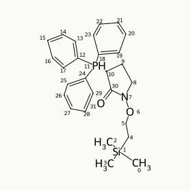 C[Si](C)(C)CCON1CC[C@@H]([PH](c2ccccc2)(c2ccccc2)c2ccccc2)C1=O